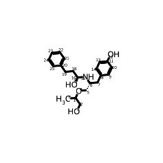 CC(CO)OC[C@@H](Cc1ccc(O)cc1)NC(O)CCc1ccccc1